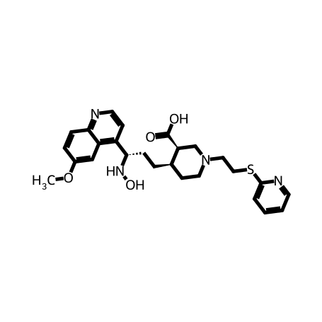 COc1ccc2nccc([C@H](CC[C@@H]3CCN(CCSc4ccccn4)C[C@@H]3C(=O)O)NO)c2c1